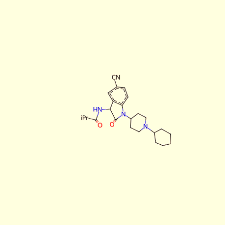 CC(C)C(=O)NC1C(=O)N(C2CCN(C3CCCCC3)CC2)c2ccc(C#N)cc21